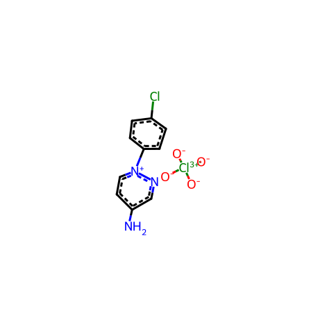 Nc1cc[n+](-c2ccc(Cl)cc2)nc1.[O-][Cl+3]([O-])([O-])[O-]